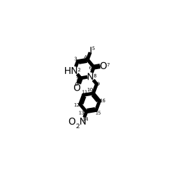 O=c1[nH]cc(I)c(=O)n1Cc1ccc([N+](=O)[O-])cc1